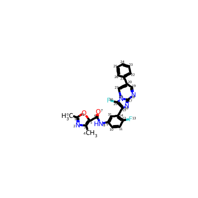 Cc1nc(C)c(C(=O)Nc2ccc(F)c(-c3nc4ncc(-c5ccccc5)cn4c3F)c2)o1